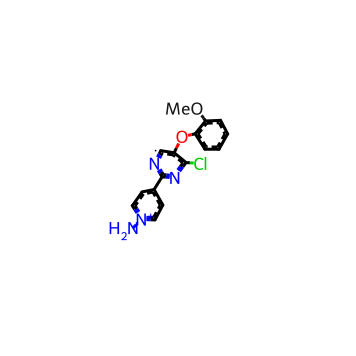 COc1ccccc1Oc1[c]nc(-c2cc[n+](N)cc2)nc1Cl